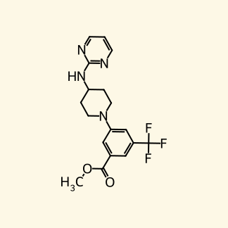 COC(=O)c1cc(N2CCC(Nc3ncccn3)CC2)cc(C(F)(F)F)c1